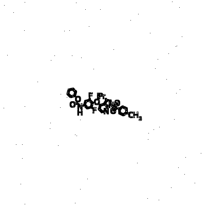 Cc1ccc(S(=O)(=O)n2cc(C(C)C)c3c(Oc4c(F)cc(NC(=O)Oc5ccccc5)cc4F)ccnc32)cc1